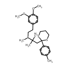 COc1ccc(CCN(C)C(C)(C)CC2(c3ccc(C)cc3)SCCCS2)cc1OC